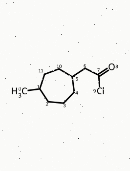 CC1CCCC(CC(=O)Cl)CC1